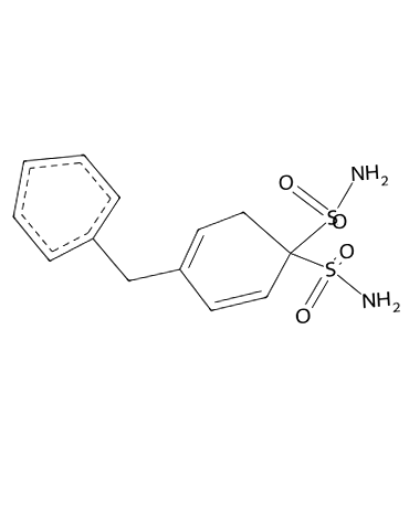 NS(=O)(=O)C1(S(N)(=O)=O)C=CC(Cc2ccccc2)=CC1